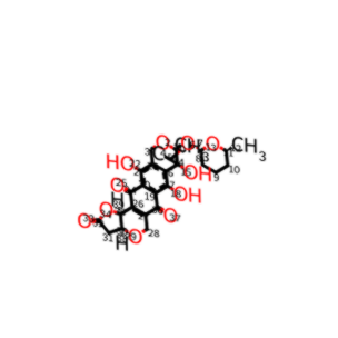 CC1OC2CC(O[C@H]3CCC[C@H](C)O3)C1(O)c1c(O)c3c(c(O)c12)C(=O)C1=C(CO[C@H]2CC(=O)O[C@@H]12)C3=O